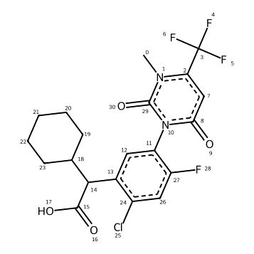 Cn1c(C(F)(F)F)cc(=O)n(-c2cc(C(C(=O)O)C3CCCCC3)c(Cl)cc2F)c1=O